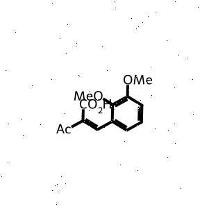 COc1cccc(C=C(C(C)=O)C(=O)O)c1OC